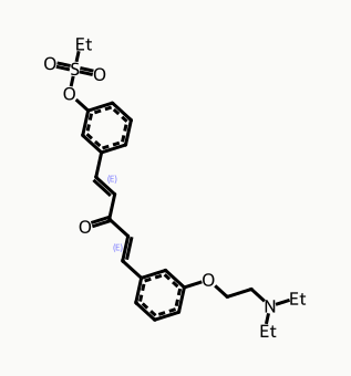 CCN(CC)CCOc1cccc(/C=C/C(=O)/C=C/c2cccc(OS(=O)(=O)CC)c2)c1